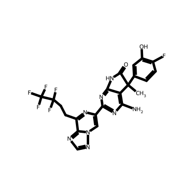 CC1(c2ccc(F)c(O)c2)C(=O)Nc2nc(-c3cn4ncnc4c(CCC(F)(F)C(F)(F)F)n3)nc(N)c21